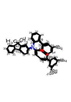 CC(C)(C)c1cc(-c2ccc(N(c3ccc4c(c3)C(C)(C)c3ccccc3-4)c3ccccc3-c3cc(C(C)(C)C)cc(C(C)(C)C)c3)cc2)cc(C(C)(C)C)c1